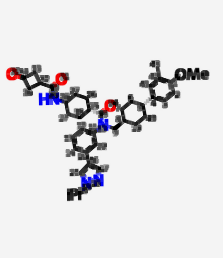 COc1ccc([C@H]2CC[C@H](CN(c3cccc(-c4cnn(C(C)C)c4)c3)C(=O)[C@H]3CC[C@H](NC(=O)C4CC(=O)C4)CC3)CC2)cc1C